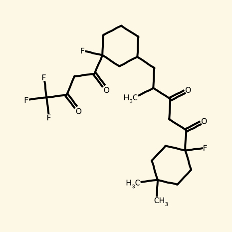 CC(CC1CCCC(F)(C(=O)CC(=O)C(F)(F)F)C1)C(=O)CC(=O)C1(F)CCC(C)(C)CC1